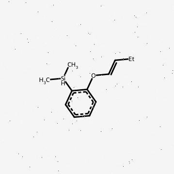 CCC=COc1ccccc1[SiH](C)C